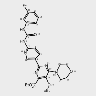 CCOC(=O)c1nc(-c2ccc(NC(=O)Nc3cccc(F)c3)nc2)nc(N2CCOCC2)c1OCC